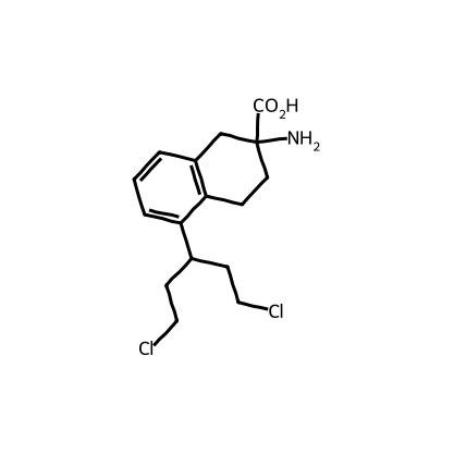 NC1(C(=O)O)CCc2c(cccc2C(CCCl)CCCl)C1